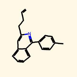 C=CCCc1cc2ccccc2c(-c2ccc(C)cc2)n1